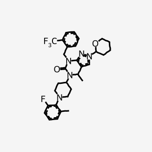 Cc1cccc(F)c1N1CCC(N2C(=O)N(Cc3ccccc3C(F)(F)F)c3nn(C4CCCCO4)cc3C2C)CC1